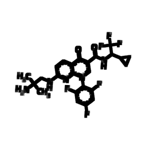 CC(C)(N)CNc1ccc2c(=O)c(C(=O)NC(C3CC3)C(F)(F)F)cn(-c3c(F)cc(F)cc3F)c2n1